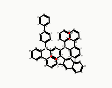 c1ccc(-c2ccc(N(c3cc(N(c4ccccc4)c4ccccc4-c4ccccc4)c4c(c3)oc3cc5ccccc5cc34)c3ccccc3-c3ccccc3)cc2)cc1